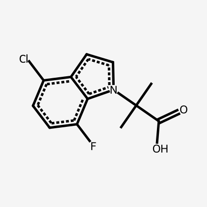 CC(C)(C(=O)O)n1ccc2c(Cl)ccc(F)c21